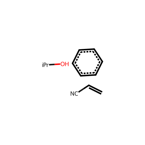 C=CC#N.CC(C)O.c1ccccc1